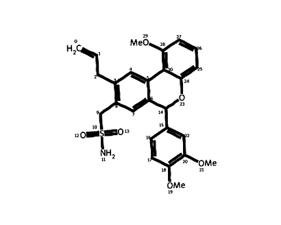 C=CCc1cc2c(cc1CS(N)(=O)=O)C(c1ccc(OC)c(OC)c1)Oc1cccc(OC)c1-2